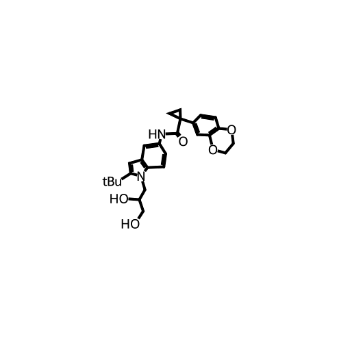 CC(C)(C)c1cc2cc(NC(=O)C3(c4ccc5c(c4)OCCO5)CC3)ccc2n1CC(O)CO